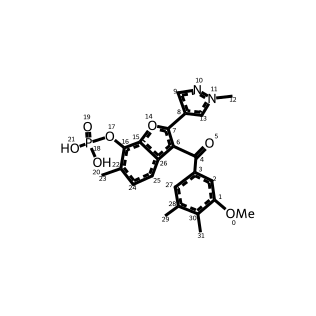 COc1cc(C(=O)c2c(-c3cnn(C)c3)oc3c(OP(=O)(O)O)c(C)ccc23)cc(C)c1C